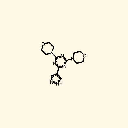 c1n[nH]cc1-c1nc(N2CCOCC2)nc(N2CCOCC2)n1